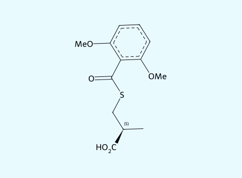 COc1cccc(OC)c1C(=O)SC[C@@H](C)C(=O)O